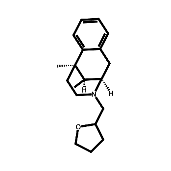 C[C@@H]1[C@H]2Cc3ccccc3[C@]1(C)CCN2CC1CCCO1